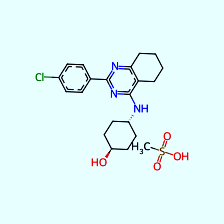 CS(=O)(=O)O.O[C@H]1CC[C@H](Nc2nc(-c3ccc(Cl)cc3)nc3c2CCCC3)CC1